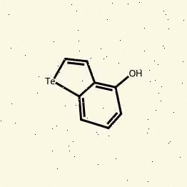 Oc1cccc2[te]ccc12